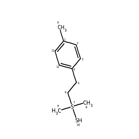 Cc1ccc(CCS(C)(C)S)cc1